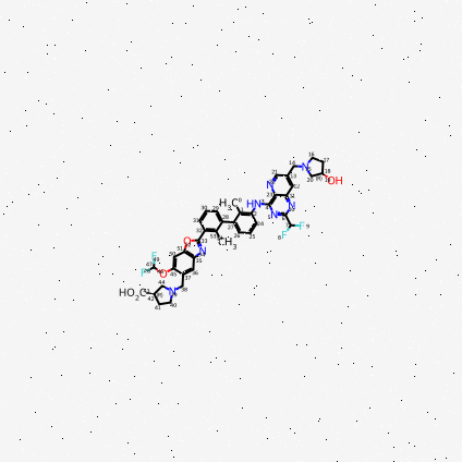 Cc1c(Nc2nc(C(F)F)nc3cc(CN4CC[C@@H](O)C4)cnc23)cccc1-c1cccc(-c2nc3cc(CN4CC[C@@H](C(=O)O)C4)c(OC(F)F)cc3o2)c1C